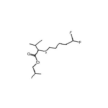 CC(C)COC(=O)C(SCCCCC(F)F)C(C)C